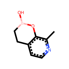 Cc1nccc2c1OB(O)CC2